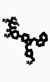 COc1ccc(Cn2nc(Sc3ncnc4ccccc34)c3ncc(N4CCC(C)(NC(=O)OC(C)(C)C)CC4)nc32)cc1